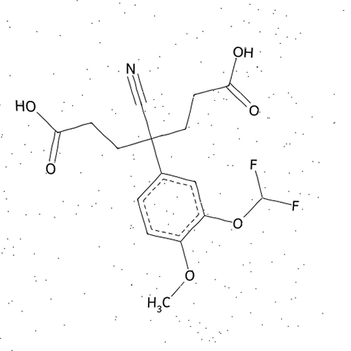 COc1ccc(C(C#N)(CCC(=O)O)CCC(=O)O)cc1OC(F)F